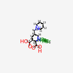 Br.Br.Br.O=C(O)c1cc(C[n+]2ccccc2)cnc1C(=O)O